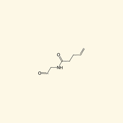 C=CCCC(=O)NC[C]=O